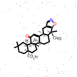 CC1(C)CC[C@]2(C(=O)O)CC[C@]3(C)[C@H](C(=O)C=C4[C@@]5(C)Cc6cnoc6[C@@](C)(C=O)C5CC[C@]43C)[C@@H]2C1